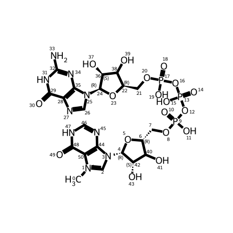 C[n+]1cn([C@@H]2O[C@H](COP(=O)(O)OP(=O)(O)OP(=O)(O)OC[C@H]3O[C@@H](n4cnc5c(=O)[nH]c(N)nc54)[C@@H](O)C3O)C(O)[C@@H]2O)c2nc[nH]c(=O)c21